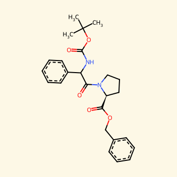 CC(C)(C)OC(=O)NC(C(=O)N1CCC[C@H]1C(=O)OCc1ccccc1)c1ccccc1